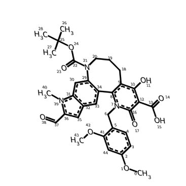 COc1ccc(Cn2c3c(c(O)c(C(=O)O)c2=O)CCCN(C(=O)OC(C)(C)C)c2cc4c(cc2-3)cc(C=O)n4C)c(OC)c1